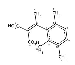 CC(=C(C(=O)O)C(=O)O)c1c(C)ccc(C)c1C